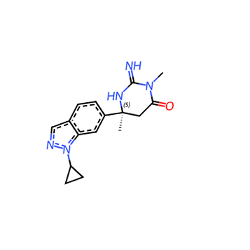 CN1C(=N)N[C@](C)(c2ccc3cnn(C4CC4)c3c2)CC1=O